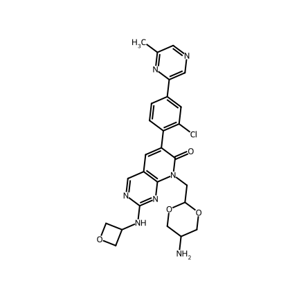 Cc1cncc(-c2ccc(-c3cc4cnc(NC5COC5)nc4n(CC4OCC(N)CO4)c3=O)c(Cl)c2)n1